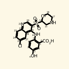 O=C(O)c1cc(O)ccc1Nc1c(S(=O)(=O)C2CNCCO2)cnc2ccc(Cl)cc12